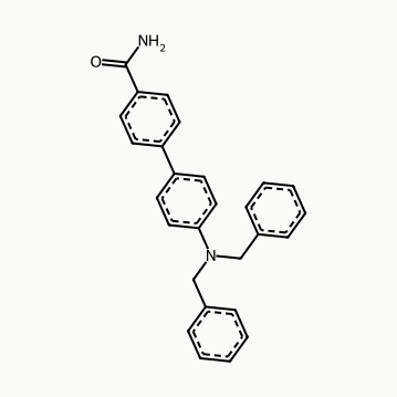 NC(=O)c1ccc(-c2ccc(N(Cc3ccccc3)Cc3ccccc3)cc2)cc1